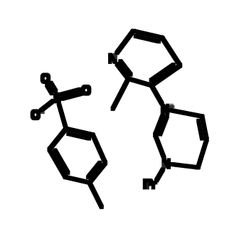 Cc1ccc(S(=O)(=O)[O-])cc1.Cc1ncccc1[N+]1=CN(C(C)C)CC=C1